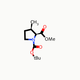 COC(=O)[C@@H]1[C@H](C)CCN1C(=O)OC(C)(C)C